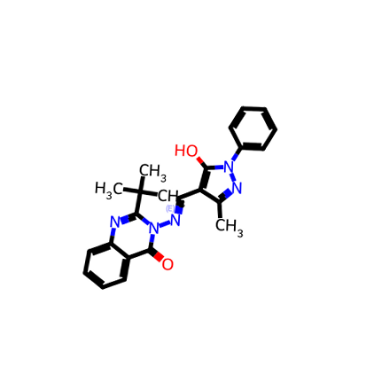 Cc1nn(-c2ccccc2)c(O)c1/C=N/n1c(C(C)(C)C)nc2ccccc2c1=O